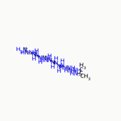 CC(C)NNNNNNNNNNNNNNNNNN